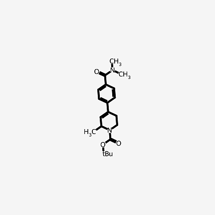 CC1C=C(c2ccc(C(=O)N(C)C)cc2)CCN1C(=O)OC(C)(C)C